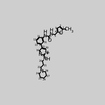 Cc1ccc(CNC(=O)Nc2cccc(-c3cnc(NCCCN4CCCCC4)nc3)c2)o1